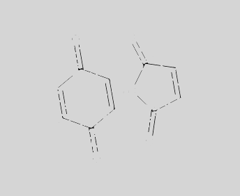 O=C1C=CC(=O)C=C1.O=C1C=CC(=O)O1